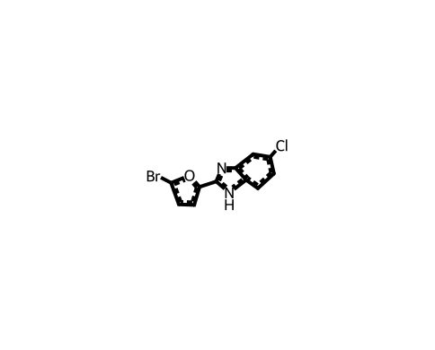 Clc1ccc2[nH]c(-c3ccc(Br)o3)nc2c1